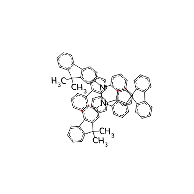 CC1(C)c2ccccc2-c2ccc(N(c3ccccc3-c3ccccc3)c3cccc4c3-c3c(N(c5ccc6c(c5)C(C)(C)c5ccccc5-6)c5ccccc5-c5ccccc5)cccc3C43c4ccccc4-c4ccccc43)cc21